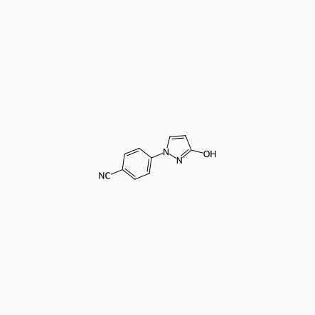 N#Cc1ccc(-n2ccc(O)n2)cc1